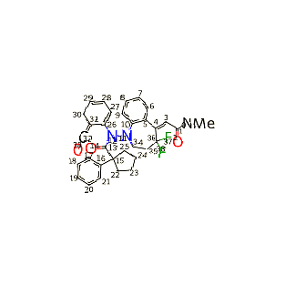 CNC(=O)C=C1c2ccccc2N(N(C(=O)C2(c3ccccc3)CCCC2)C2=CC=CCC2=C=O)CCC1(F)F